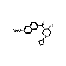 CC[C@@H]1CCN(C2CCC2)C[C@H]1C(=O)c1ccc2cc(OC)ccc2c1